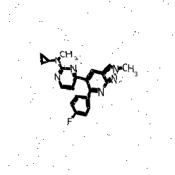 CN(c1nccc(-c2cc3cn(C)nc3nc2-c2ccc(F)cc2)n1)C1CC1